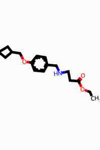 CCOC(=O)CCNCc1ccc(OCC2CCC2)cc1